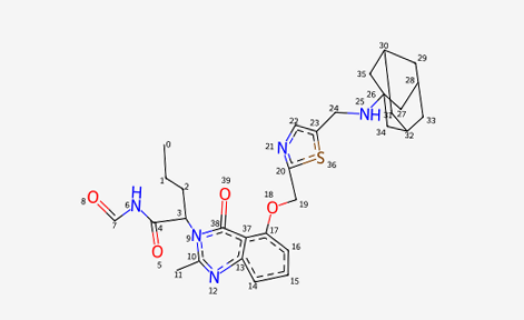 CCCC(C(=O)NC=O)n1c(C)nc2cccc(OCc3ncc(CNC45CC6CC(CC(C6)C4)C5)s3)c2c1=O